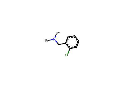 CC(C)N(Cc1ccccc1Cl)C(C)C